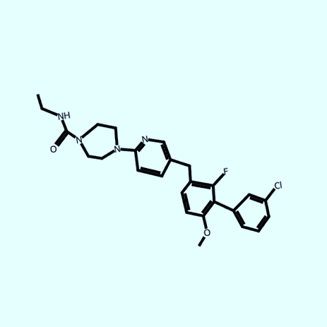 CCNC(=O)N1CCN(c2ccc(Cc3ccc(OC)c(-c4cccc(Cl)c4)c3F)cn2)CC1